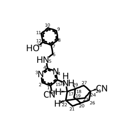 N#Cc1cnc(NCc2ccccc2O)nc1N[C@@H]1[C@@H]2CC3C[C@H]1C[C@@](C#N)(C3)C2